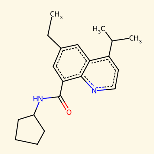 CCc1cc(C(=O)NC2CCCC2)c2nccc(C(C)C)c2c1